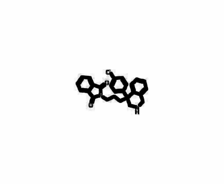 O=C1c2ccccc2C(=O)N1CCCC1(c2ccc(Cl)cc2)CNCc2ccccc21